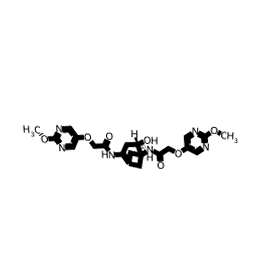 COc1ncc(OCC(=O)NC2=C3CC(NC(=O)COc4cnc(OC)nc4)(C3)[C@@H](O)C2)cn1